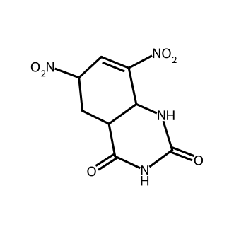 O=C1NC(=O)C2CC([N+](=O)[O-])C=C([N+](=O)[O-])C2N1